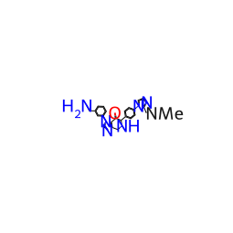 CNCc1nccn1-c1ccc(C2NCc3ncn(-c4cccc(CN)c4)c3C2=O)cc1